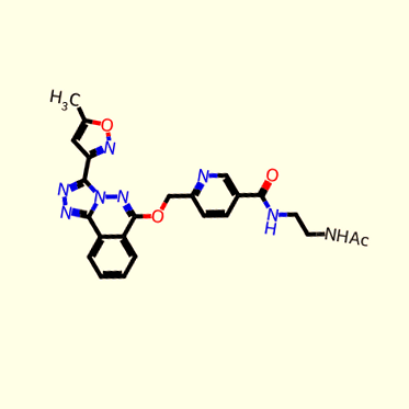 CC(=O)NCCNC(=O)c1ccc(COc2nn3c(-c4cc(C)on4)nnc3c3ccccc23)nc1